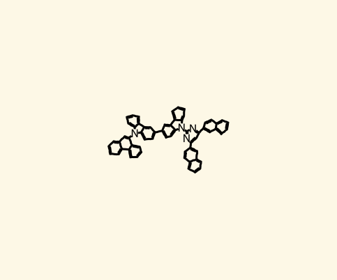 c1ccc2cc(-c3cc(-c4ccc5ccccc5c4)nc(-n4c5ccccc5c5cc(-c6ccc7c(c6)c6ccccc6n7-c6cc7ccccc7c7ccccc67)ccc54)n3)ccc2c1